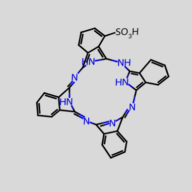 O=S(=O)(O)c1cccc2c3[nH]c(c12)Nc1[nH]c(c2ccccc12)N=C1N=C(N=c2[nH]/c(c4ccccc24)=N\3)c2ccccc21